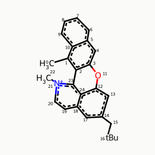 Cc1c2c(cc3ccccc13)Oc1cc(CC(C)(C)C)cc3cc[n+](C)c-2c13